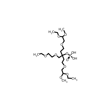 CCOCCOCC(CCOCC(OC)OCC)(CCOCC(OC)OCC)OP(=O)(O)O